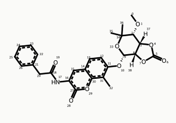 CO[C@@H]1[C@@H]2OC(=O)O[C@@H]2[C@H](Oc2ccc3cc(NC(=O)Cc4ccccc4)c(=O)oc3c2C)OC1(C)C